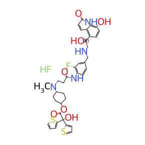 CN(CCC(=O)Nc1ccc(CNC[C@H](O)c2ccc(O)c3[nH]c(=O)ccc23)cc1F)[C@H]1CC[C@H](OC(=O)C(O)(c2cccs2)c2cccs2)CC1.F